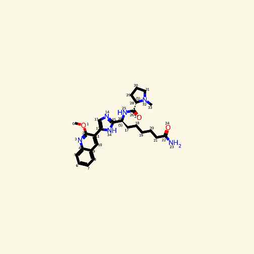 COc1nc2ccccc2cc1-c1cnc([C@H](CCCCCC(N)=O)NC(=O)[C@@H]2CCCN2C)[nH]1